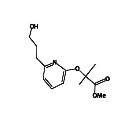 COC(=O)C(C)(C)Oc1cccc(CCCO)n1